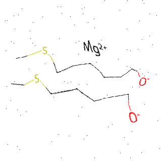 CSCCCC[O-].CSCCCC[O-].[Mg+2]